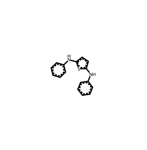 c1ccc(Nc2ccc(Nc3ccccc3)s2)cc1